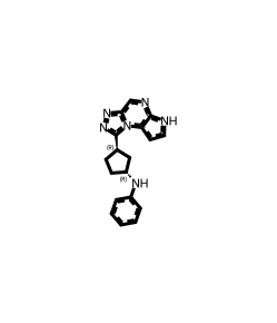 c1ccc(N[C@@H]2CC[C@@H](c3nnc4cnc5[nH]ccc5n34)C2)cc1